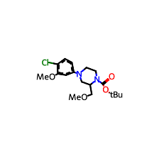 COCC1CN(c2ccc(Cl)c(OC)c2)CCN1C(=O)OC(C)(C)C